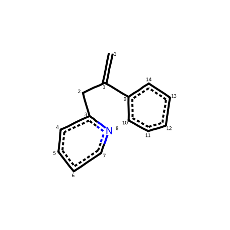 C=C(Cc1ccccn1)c1ccccc1